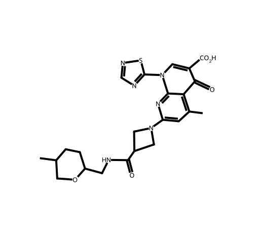 Cc1cc(N2CC(C(=O)NCC3CCC(C)CO3)C2)nc2c1c(=O)c(C(=O)O)cn2-c1ncns1